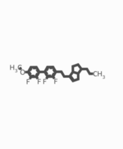 CCCC1CCC2C(CCc3ccc(-c4ccc(OC)c(F)c4F)c(F)c3F)=CCC12